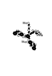 COCCOCCOCCN(CCCC(=O)N(C)CC(C)(C)SC)c1cc(COc2cc3c(cc2OC)C(=O)N2c4ccccc4C[C@H]2C=N3)cc(COc2cc3c(cc2OC)C(=O)N2c4ccccc4C[C@H]2C=N3)c1